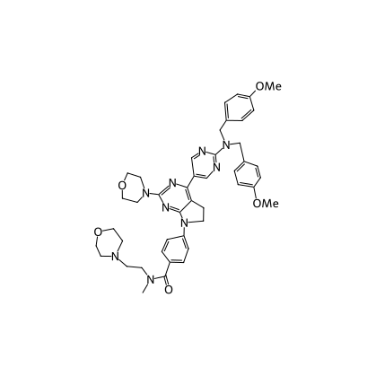 COc1ccc(CN(Cc2ccc(OC)cc2)c2ncc(-c3nc(N4CCOCC4)nc4c3CCN4c3ccc(C(=O)N(C)CCN4CCOCC4)cc3)cn2)cc1